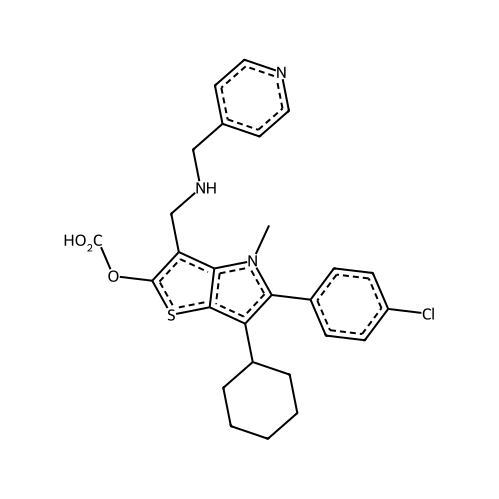 Cn1c(-c2ccc(Cl)cc2)c(C2CCCCC2)c2sc(OC(=O)O)c(CNCc3ccncc3)c21